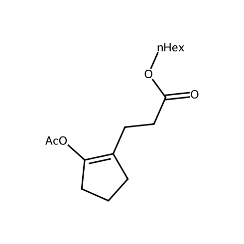 CCCCCCOC(=O)CCC1=C(OC(C)=O)CCC1